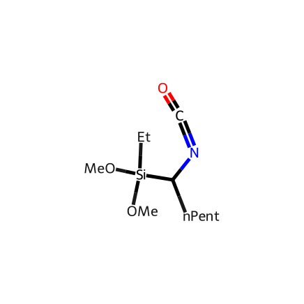 CCCCCC(N=C=O)[Si](CC)(OC)OC